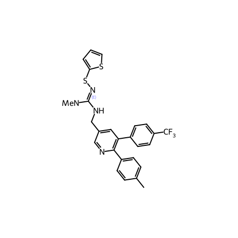 CN/C(=N\Sc1cccs1)NCc1cnc(-c2ccc(C)cc2)c(-c2ccc(C(F)(F)F)cc2)c1